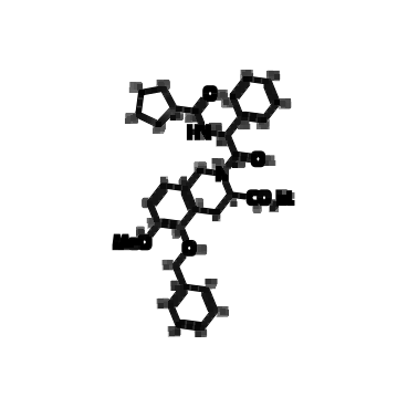 CCOC(=O)C1Cc2c(ccc(OC)c2OCc2ccccc2)CN1C(=O)C(NC(=O)C1CCCC1)c1ccccc1